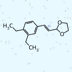 CCc1ccc(/C=C/C2OCCO2)cc1CC